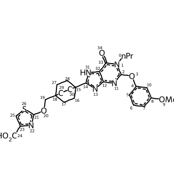 CCCn1c(Oc2cccc(OC)c2)nc2nc(C34CCC(COc5nc(C(=O)O)cs5)(CC3)CC4)[nH]c2c1=O